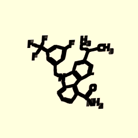 CC(C)c1c[c]c2c3c(C(N)=O)cccc3n(Cc3cc(F)cc(C(F)(F)F)c3)c2c1